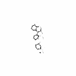 CC(C)NCc1cnc2c(C(F)(F)F)cccc2c1-c1cccc(Oc2cccc(S(C)(=O)=O)c2)c1